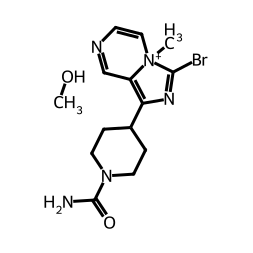 CO.C[N+]12C=CN=CC1=C(C1CCN(C(N)=O)CC1)N=C2Br